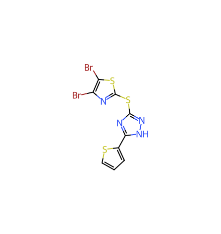 Brc1nc(Sc2n[nH]c(-c3cccs3)n2)sc1Br